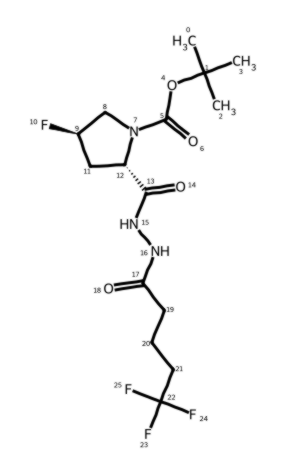 CC(C)(C)OC(=O)N1C[C@H](F)C[C@H]1C(=O)NNC(=O)CCCC(F)(F)F